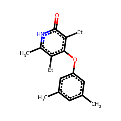 CCc1c(C)[nH]c(=O)c(CC)c1Oc1cc(C)cc(C)c1